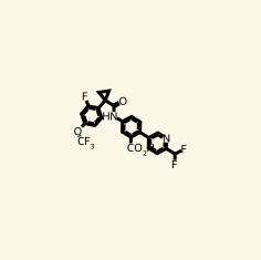 O=C(O)c1cc(NC(=O)C2(c3ccc(OC(F)(F)F)cc3F)CC2)ccc1-c1ccc(C(F)F)nc1